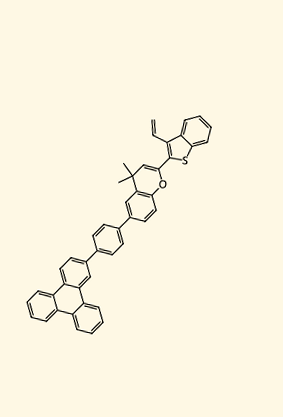 C=Cc1c(C2=CC(C)(C)c3cc(-c4ccc(-c5ccc6c7ccccc7c7ccccc7c6c5)cc4)ccc3O2)sc2ccccc12